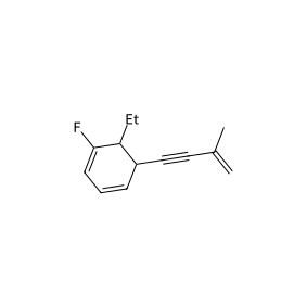 C=C(C)C#CC1C=CC=C(F)C1CC